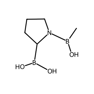 CB(O)N1CCCC1B(O)O